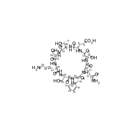 C[C@@H](O)[C@@H]1NC(=O)C(CCC(=O)O)NC(=O)C(CO)NC(=O)C(CCC(N)=O)NC(=O)[C@H](Cc2ccccc2)NC(=O)C(CO)NC(=O)[C@H](CCCCN)NC(=O)C(CO)NC1=O